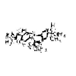 CC(C)(C)c1cc2nc(C(C)(C)C)n3c4cc5c(cc4nc3c2cn1)C(C)(C)C(C)(C)O5